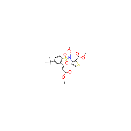 CCOC(=O)C=Cc1cc(C(C)(C)C)ccc1S(=O)(=O)N(COC)c1ccsc1C(=O)OC